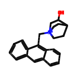 OC1C[N+]2(Cc3c4ccccc4cc4ccccc34)CCC1CC2